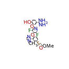 COC(=O)CSc1ccc(Oc2c(F)cnc(Oc3cc(C(=N)N)ccc3O)c2F)c(C2N=CCN2C)c1